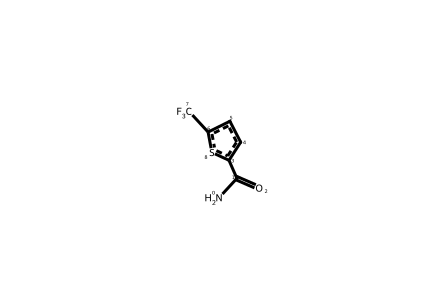 NC(=O)c1ccc(C(F)(F)F)s1